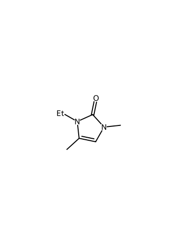 CCn1c(C)cn(C)c1=O